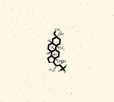 CC[C@@]1(O)CC[C@@]2(C)[C@H](CC[C@@H]3[C@@H]2CC[C@]2(C)[C@@H]([C@@H](C)[C@H](O)C(F)(F)F)CC[C@@H]32)C1